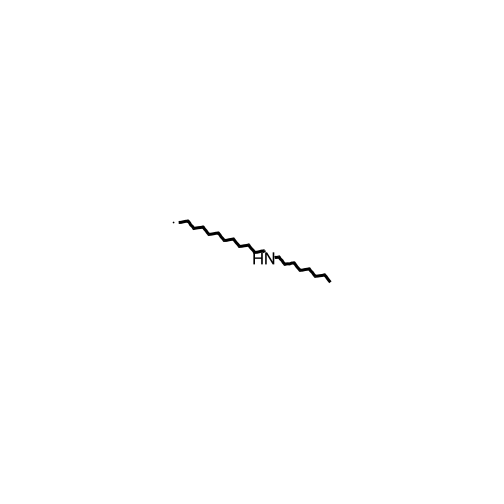 [CH2]CCCCCCCCCCCNCCCCCCCC